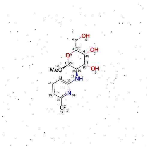 CO[C@H]1O[C@H](CO)[C@H](O)[C@H](O)[C@H]1Nc1cccc(C(F)(F)F)n1